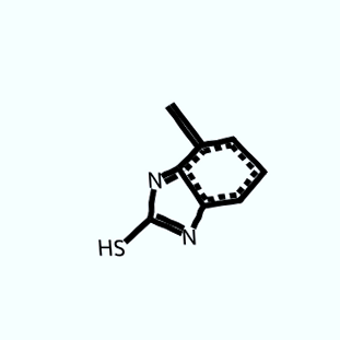 C=c1cccc2c1=NC(S)=N2